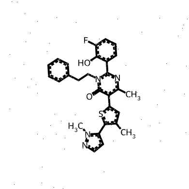 Cc1cc(-c2c(C)nc(-c3cccc(F)c3O)n(CCc3ccccc3)c2=O)sc1-c1ccnn1C